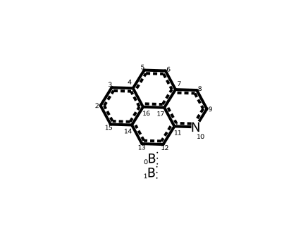 [B].[B].c1cc2ccc3ccnc4ccc(c1)c2c34